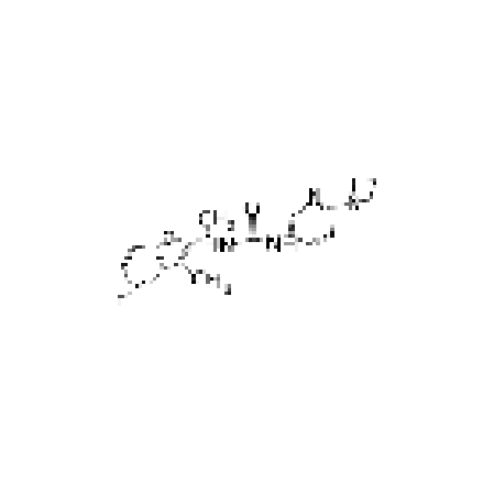 Cc1c([C@H](C)NC(=O)Nc2ccc(N3CCC3)nc2)oc2ccc(F)cc12